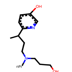 CCCN(CCCO)CCC(C)c1ccc(O)cn1